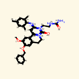 COc1cc2c(cc1OCc1ccccc1)CCn1c-2c/c(=N\c2c(C)cc(C)cc2C)n(CCNC(N)=O)c1=O